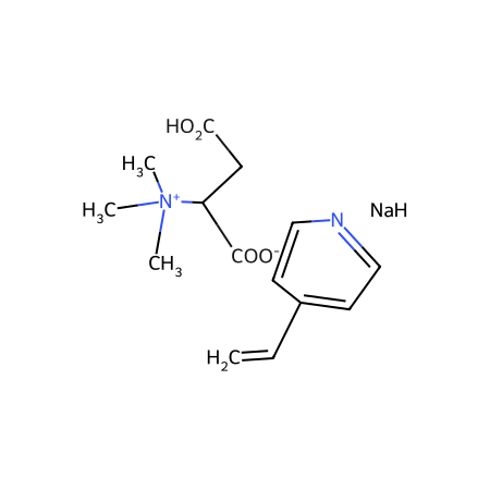 C=Cc1ccncc1.C[N+](C)(C)C(CC(=O)O)C(=O)[O-].[NaH]